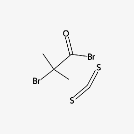 CC(C)(Br)C(=O)Br.S=C=S